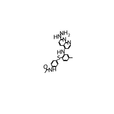 CC(=O)Nc1ccc(Sc2ccc(C)cc2Nc2ccnc3nc(NN)ccc23)cc1